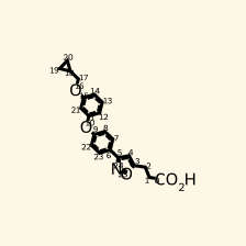 O=C(O)CCc1cc(-c2ccc(Oc3cccc(OCC4CC4)c3)cc2)no1